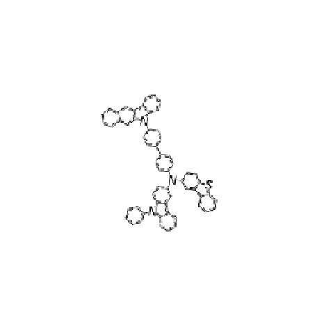 c1ccc(-n2c3ccccc3c3cc(N(c4ccc(-c5ccc(-n6c7ccccc7c7cc8ccccc8cc76)cc5)cc4)c4ccc5sc6ccccc6c5c4)ccc32)cc1